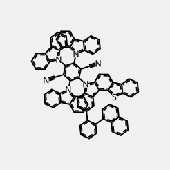 N#Cc1c(-n2c3ccccc3c3ccccc32)c(-n2c3ccccc3c3ccccc32)c(C#N)c(-n2c3ccc(-c4ccccc4-c4cccc5ccccc45)cc3c3c4sc5ccccc5c4ccc32)c1-n1c2ccccc2c2ccccc21